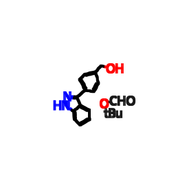 CC(C)(C)OC=O.OCc1ccc(-c2n[nH]c3ccccc23)cc1